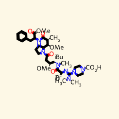 CC[C@H](C)[C@@H]([C@@H](CC(=O)N1CCCC1[C@H](OC)[C@@H](C)C(=O)NC(Cc1ccccc1)C(=O)OC)OC)N(C)C(=O)C(N=C(N(C)C)N1CCN(C(=O)O)CC1)C(C)C